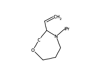 C=CC1COCCCN1C(C)C